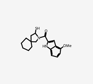 COc1cccc2[nH]c(C(=O)N3CC4(CCCCC4)CC3S)cc12